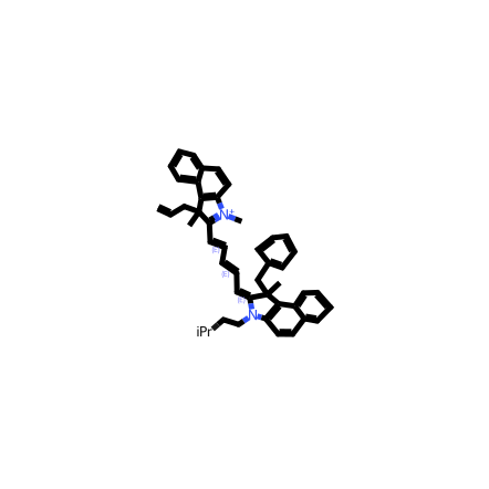 C=CCC1(C)C(/C=C/C=C/C=C2/N(CCC(C)C)c3ccc4ccccc4c3C2(C)Cc2ccccc2)=[N+](C)c2ccc3ccccc3c21